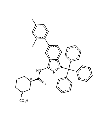 O=C(Nc1nn(C(c2ccccc2)(c2ccccc2)c2ccccc2)c2ccc(-c3ccc(F)cc3F)cc12)[C@@H]1CCCN(C(=O)O)C1